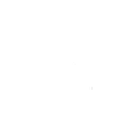 CC1(OCCO)CC1